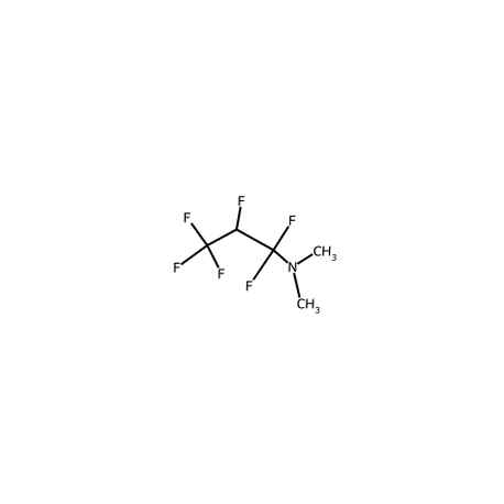 CN(C)C(F)(F)C(F)C(F)(F)F